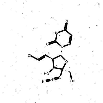 [N-]=[N+]=N[C@]1(CO)O[C@@H](n2ccc(=O)[nH]c2=O)[C@H](C=CCl)[C@@H]1O